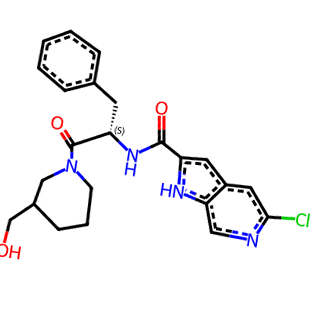 O=C(N[C@@H](Cc1ccccc1)C(=O)N1CCCC(CO)C1)c1cc2cc(Cl)ncc2[nH]1